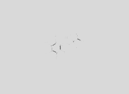 CCC(=O)C(C)(C)COc1c(F)c(F)c(F)c(F)c1F